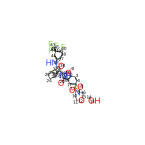 COc1ccc(S(=O)(=O)N2CCO[C@@H](CO)C2)cc1C(=O)N[C@@H]1C2CCC(/C2=C/C2CC2)[C@@H]1C(=O)Nc1ccc(F)c(C(F)(F)F)c1